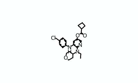 CCN(c1ncc(OC(=O)C2CCC2)cc1Nc1ccc(Cl)cc1)C1CCOCC1